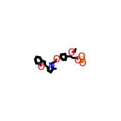 CCOC(CCOS(C)(=O)=O)c1ccc(OCCn2c(C)ccc2-c2cc3ccccc3o2)cc1